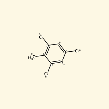 Cc1c(Cl)cc(Cl)nc1Cl